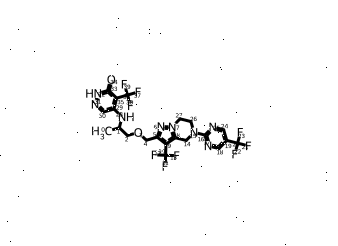 CC(COCc1nn2c(c1C(F)(F)F)CN(c1ncc(C(F)(F)F)cn1)CC2)Nc1cn[nH]c(=O)c1C(F)(F)F